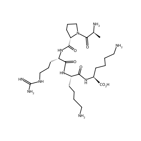 C[C@H](N)C(=O)N1CCC[C@H]1C(=O)N[C@@H](CCCNC(=N)N)C(=O)N[C@@H](CCCCN)C(=O)N[C@@H](CCCCN)C(=O)O